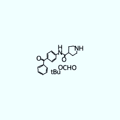 CC(C)(C)OC=O.O=C(c1ccccc1)c1ccc(NC(=O)C2CCNCC2)cc1